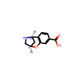 O=C(O)c1ccc2c(c1)O[C@H]1CN[C@@H]2C1